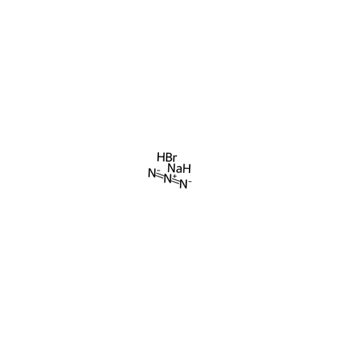 Br.[N-]=[N+]=[N-].[NaH]